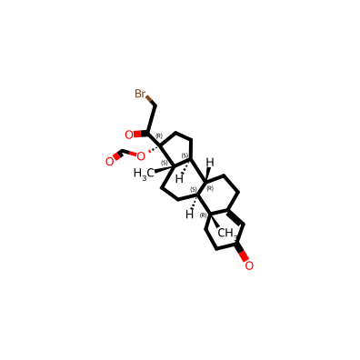 C[C@]12CCC(=O)C=C1CC[C@@H]1[C@@H]2CC[C@@]2(C)[C@H]1CC[C@]2(OC=O)C(=O)CBr